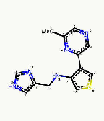 COc1cncc(-c2cscc2NCc2c[nH]cn2)n1